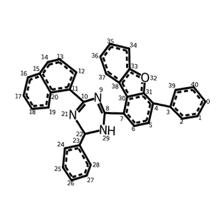 c1ccc(-c2ccc(C3=NC(c4cccc5ccccc45)=NC(c4ccccc4)N3)c3c2oc2ccccc23)cc1